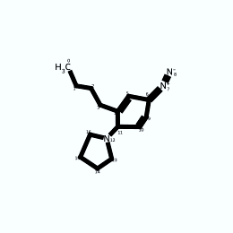 CCCCC1=CC(=[N+]=[N-])C=CC1N1CCCC1